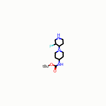 CC(C)(C)OC(=O)NC1CCN(C2CCNCC2F)CC1